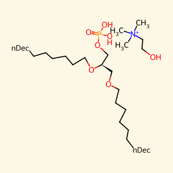 CCCCCCCCCCCCCCCCOC[C@H](COP(=O)(O)O)OCCCCCCCCCCCCCCCC.C[N+](C)(C)CCO